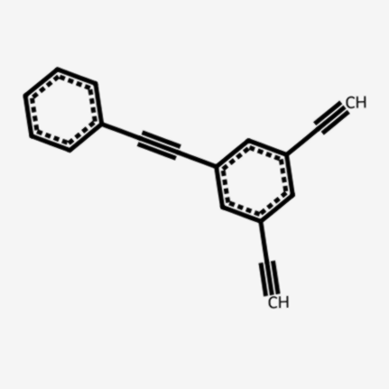 C#Cc1cc(C#C)cc(C#Cc2ccccc2)c1